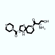 N[C@@H](CO)C(=O)N1CCCC2(C1)N[C@H](C(=O)N1CCSCC1)CS2